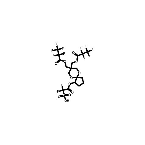 O=C(OCC1(COC(=O)C(F)(F)C(F)(F)F)COC2(CCCC2OC(=O)C(F)(F)S(=O)(=O)O)OC1)C(F)(F)C(F)(F)F